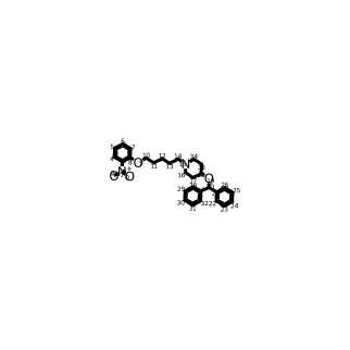 O=[N+]([O-])c1ccccc1OCCCCCN1CCC(OC(c2ccccc2)c2ccccc2)CC1